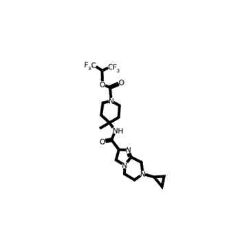 CC1(NC(=O)C2CN3CCN(C4CC4)CC3=N2)CCN(C(=O)OC(C(F)(F)F)C(F)(F)F)CC1